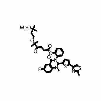 COC(C)(C)CCOC(C)(C)C(=O)CCC(=O)Oc1ccccc1N1C(=O)c2cc(F)ccc2N(C)C1c1ccc(-c2csc(C)n2)s1